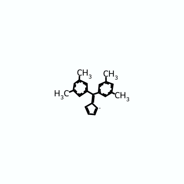 Cc1cc(C)cc(C(=C2[C]=CC=C2)c2cc(C)cc(C)c2)c1